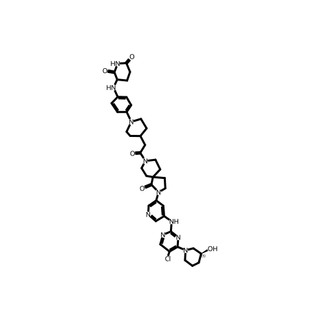 O=C1CCC(Nc2ccc(N3CCC(CC(=O)N4CCC5(CC4)CCN(c4cncc(Nc6ncc(Cl)c(N7CCC[C@H](O)C7)n6)c4)C5=O)CC3)cc2)C(=O)N1